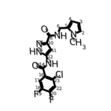 Cn1cccc1CNC(=O)c1cc(NC(=O)c2cc(F)c(F)cc2Cl)[nH]n1